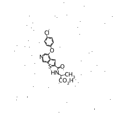 C[C@H](NC(=O)c1cc2c(Oc3ccc(Cl)cc3)cncc2s1)C(=O)O